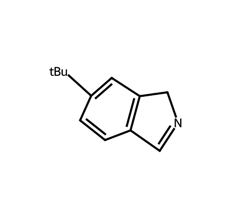 CC(C)(C)c1ccc2c(c1)CN=C2